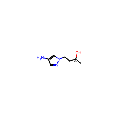 C[C@H](O)CCn1cc(N)cn1